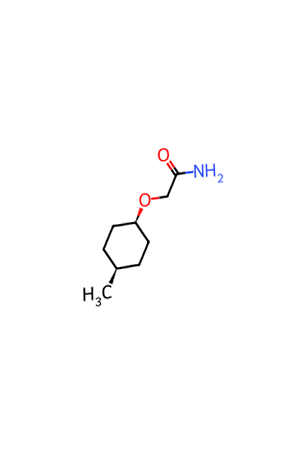 C[C@H]1CC[C@@H](OCC(N)=O)CC1